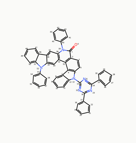 O=c1c2ccc3c(c4ccccc4n3-c3nc(-c4ccccc4)nc(-c4ccccc4)n3)c2c2cc3c(cc2n1-c1ccccc1)c1ccccc1n3-c1ccccc1